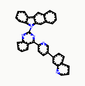 c1ccc2cc3c(cc2c1)c1ccccc1n3-c1nc(-c2ccc(-c3ccc4cccnc4c3)cn2)c2ccccc2n1